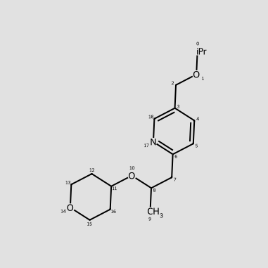 CC(C)OCc1ccc(CC(C)OC2CCOCC2)nc1